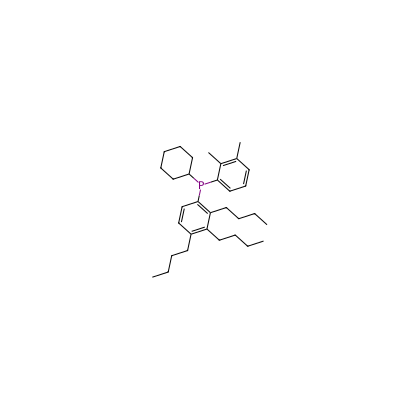 CCCCc1ccc(P(c2cccc(C)c2C)C2CCCCC2)c(CCCC)c1CCCC